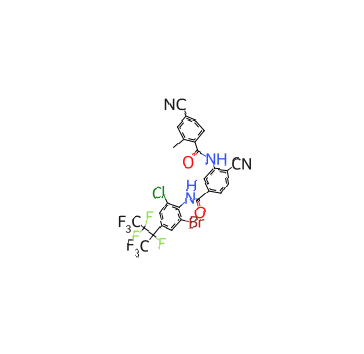 Cc1cc(C#N)ccc1C(=O)Nc1cc(C(=O)Nc2c(Cl)cc(C(F)(C(F)(F)F)C(F)(F)C(F)(F)F)cc2Br)ccc1C#N